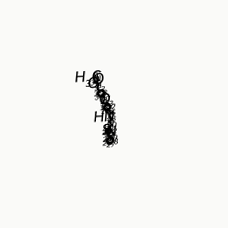 COC(=O)CCc1ccc(OCc2ccc(CNCCCc3nc(-c4ccccc4)cs3)cc2)cc1